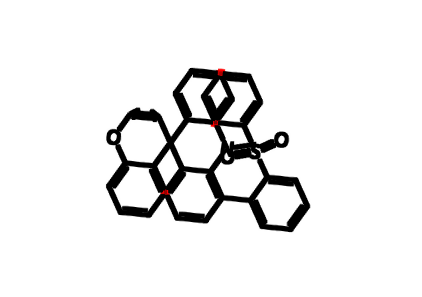 CN1c2ccccc2C2(c3ccccc3Oc3ccccc32)c2cccc(-c3ccccc3S(=O)(=O)c3ccccc3)c21